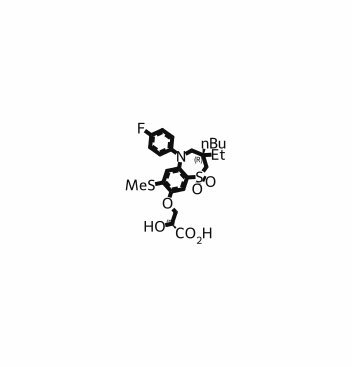 CCCC[C@]1(CC)CN(c2ccc(F)cc2)c2cc(SC)c(OC[C@@H](O)C(=O)O)cc2S(=O)(=O)C1